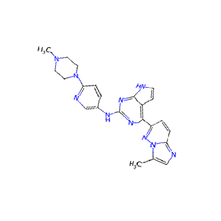 Cc1cnc2ccc(-c3nc(Nc4ccc(N5CCN(C)CC5)nc4)nc4[nH]ccc34)nn12